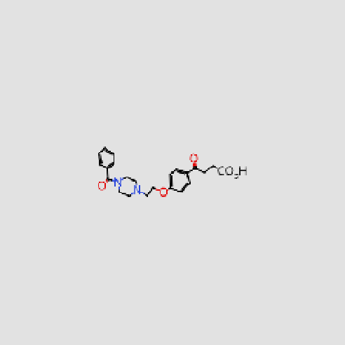 O=C(O)CCC(=O)c1ccc(OCCN2CCN(C(=O)c3ccccc3)CC2)cc1